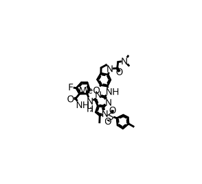 COc1cc2c(cc1Nc1nc(Nc3cccc(F)c3C(N)=O)c3cc(C)n(S(=O)(=O)c4ccc(C)cc4)c3n1)N(C(=O)CN(C)C)CC2